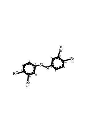 Brc1ccc(SSc2ccc(Br)c(Br)c2)cc1Br